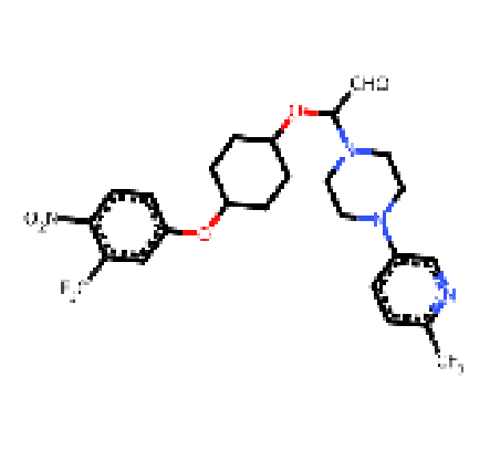 O=CC(OC1CCC(Oc2ccc([N+](=O)[O-])c(C(F)(F)F)c2)CC1)N1CCN(c2ccc(C(F)(F)F)nc2)CC1